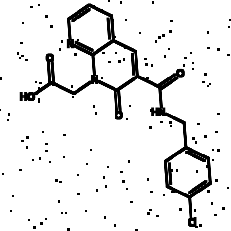 O=C(O)Cn1c(=O)c(C(=O)NCc2ccc(Cl)cc2)cc2cccnc21